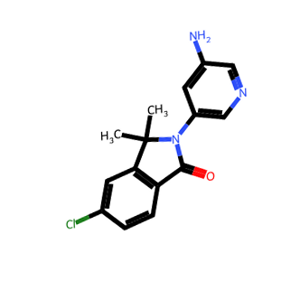 CC1(C)c2cc(Cl)ccc2C(=O)N1c1cncc(N)c1